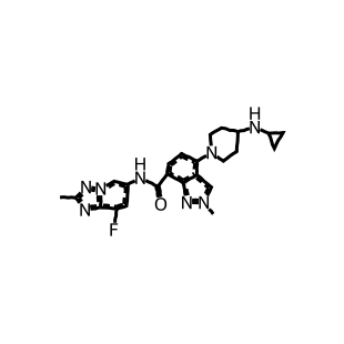 Cc1nc2c(F)cc(NC(=O)c3ccc(N4CCC(NC5CC5)CC4)c4cn(C)nc34)cn2n1